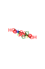 COc1c(OCCCOc2c(O)c(Cl)c3sc(C(=O)C[C@H](C)C(=O)O)cc3c2Cl)cc2c(c1F)CN(C(=O)C[C@H](C)C(=O)O)C2